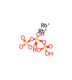 O=P([O-])([O-])OP(=O)(O)OP(=O)(O)O.[Rb+].[Rb+]